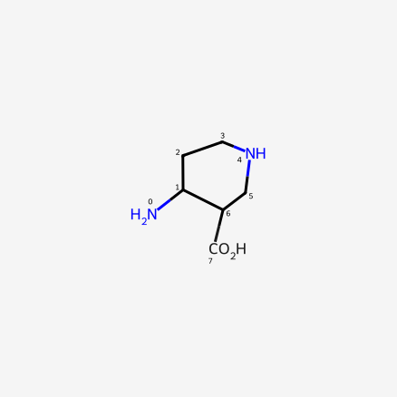 NC1CCNCC1C(=O)O